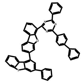 c1ccc(-c2ccc(-c3nc(-c4ccccc4)nc(-c4cccc5c4oc4cc(-c6cc(-c7ccccc7)cc7sc8ccccc8c67)ccc45)n3)cc2)cc1